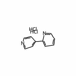 Cl.Cl.c1ccc(-c2ccncc2)nc1